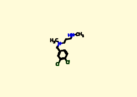 CNCCCN(C)Cc1ccc(Cl)c(Cl)c1